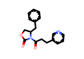 O=C(CCc1cccnc1)N1C(=O)OCC1Cc1ccccc1